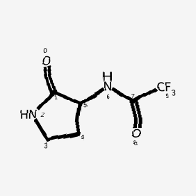 O=C1NCCC1NC(=O)C(F)(F)F